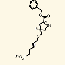 CCOC(=O)CC/C=C/COC[C@]1(F)CN[C@H](C(=O)OCc2ccccc2)C1